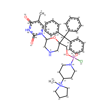 Cc1cn(C2CNCC(COP(=O)(Cl)N3CCC([N+]4(C)CCCC4)CC3)(C(c3ccccc3)(c3ccccc3)c3ccccc3)O2)c(=O)[nH]c1=O